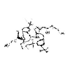 CCOCC(O)CN1NN=C(N[C@H]2C[C@@H](CC)N(C(=O)OCC)c3ccc(C(F)(F)F)cc32)N1Cc1cc(C(F)(F)F)cc(C(F)(F)F)c1